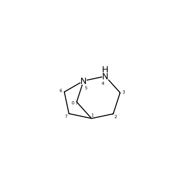 [CH]1C2CCNN1CC2